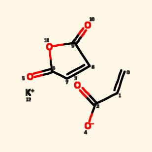 C=CC(=O)[O-].O=C1C=CC(=O)O1.[K+]